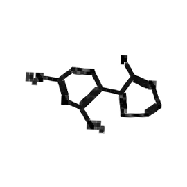 Nc1ccc(-c2cccnc2F)c(N)n1